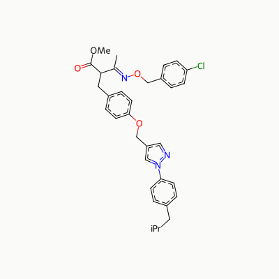 COC(=O)C(Cc1ccc(OCc2cnn(-c3ccc(CC(C)C)cc3)c2)cc1)C(C)=NOCc1ccc(Cl)cc1